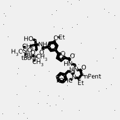 CCCCC[C@@H](C(=O)NCNC(=O)c1ccc(-c2cc(OCC)cc(C(=O)NC(CO)(CO[Si](C)(C)C(C)(C)C)CO[Si](C)(C)C(C)(C)C)c2)o1)[C@@H](CC)N(C=O)OCc1ccccc1